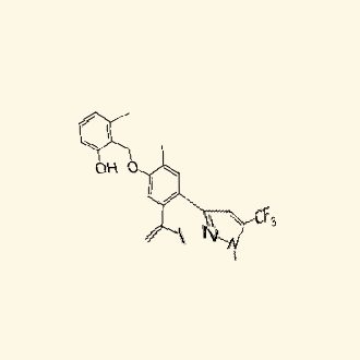 C=C(I)c1cc(OCc2c(C)cccc2O)c(C)cc1-c1cc(C(F)(F)F)n(C)n1